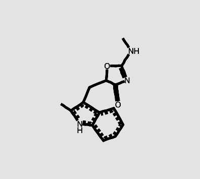 CNC1=NC(=O)C(Cc2c(C)[nH]c3ccccc23)O1